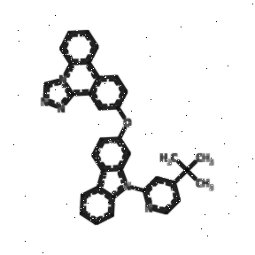 CC(C)(C)c1ccnc(-n2c3ccccc3c3ccc(Oc4ccc5c6ccccc6n6cnnc6c5c4)cc32)c1